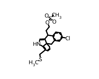 CSCC1=C2NC=C3C(CCOS(C)(=O)=O)c4ccc(Cl)cc4CC32CC=C1